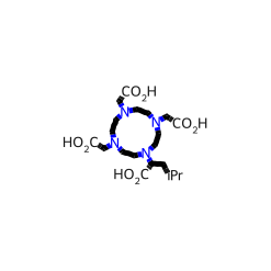 CC(C)CC(C(=O)O)N1CCN(CC(=O)O)CCN(CC(=O)O)CCN(CC(=O)O)CC1